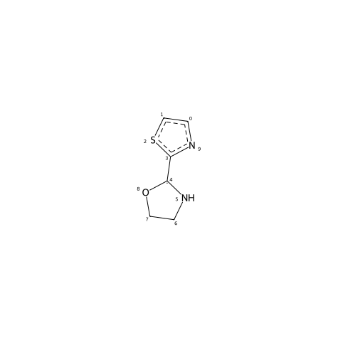 c1csc([C]2NCCO2)n1